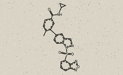 Cc1ccc(C(=O)NC2CC2)cc1-c1ccc2c(cnn2S(=O)(=O)c2cccc3nonc23)c1